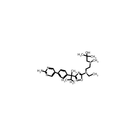 CCN(CCN(C)CC(C)(C)O)c1nc(C(C)(c2ccc(-c3cnc(N)nc3)cc2)C(C)C)no1